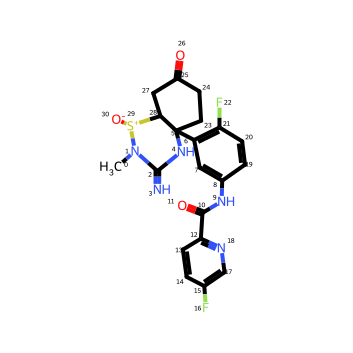 CN1C(=N)NC2(c3cc(NC(=O)c4ccc(F)cn4)ccc3F)CCC(=O)CC2[S+]1[O-]